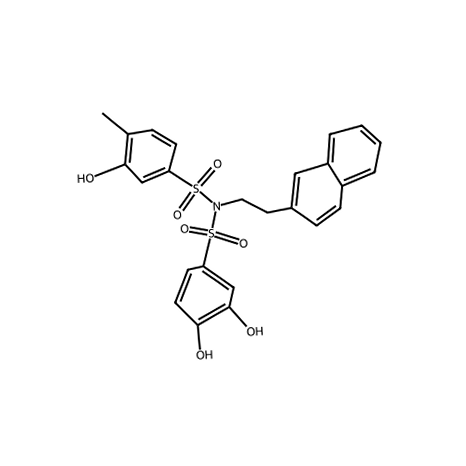 Cc1ccc(S(=O)(=O)N(CCc2ccc3ccccc3c2)S(=O)(=O)c2ccc(O)c(O)c2)cc1O